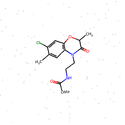 COC(=O)NCCN1C(=O)C(C)Oc2cc(Cl)c(C)cc21